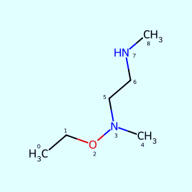 CCON(C)CCNC